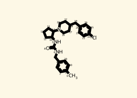 Cc1ccc(CNC(=O)NC2CCCC2N2CCC(Cc3ccc(Cl)cc3)CC2)cc1